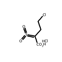 Cl.O=C(O)C(CCCl)=S(=O)=O